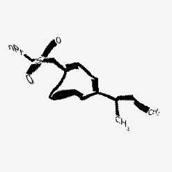 C=CC(C)c1ccc(S(=O)(=O)CCC)cc1